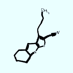 CCCCc1c(C#N)sc2nc3c(cc12)CCCC3